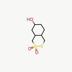 O=S1(=O)CC2CC(O)CCC2CS1